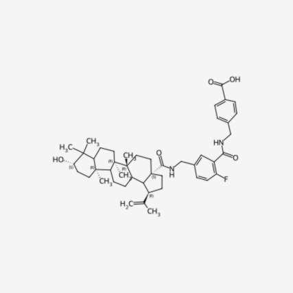 C=C(C)[C@@H]1CC[C@]2(C(=O)NCc3ccc(F)c(C(=O)NCc4ccc(C(=O)O)cc4)c3)CC[C@]3(C)C(CCC4[C@@]5(C)CC[C@H](O)C(C)(C)C5CC[C@]43C)C12